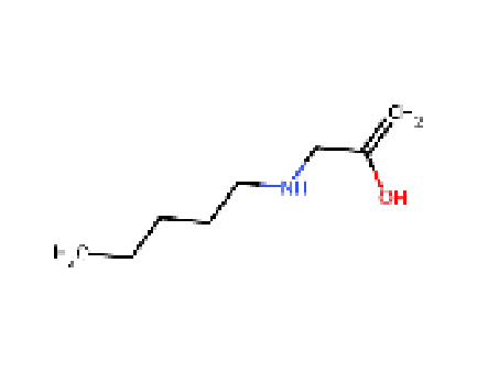 C=C(O)CNCCCCC